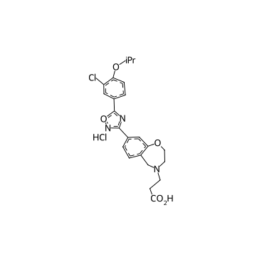 CC(C)Oc1ccc(-c2nc(-c3ccc4c(c3)OCCN(CCC(=O)O)C4)no2)cc1Cl.Cl